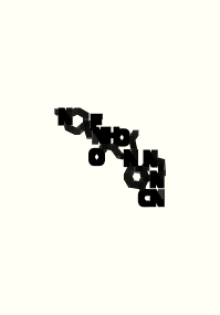 CC1CN(c2ccc(C#N)c3nccnc23)CC(C(=O)NCC2(F)CCN(C)CC2)O1